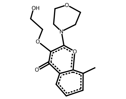 Cc1cccc2c(=O)c(OCCO)c(N3CCOCC3)oc12